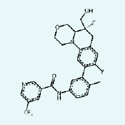 Cc1ccc(NC(=O)c2cncc(C(F)(F)F)c2)cc1-c1cc2c(cc1F)C[C@](F)(CO)C1COCCN21